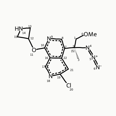 COC[C@@](C)(N=[N+]=[N-])c1cnc(OC2CNC2)c2cnc(Cl)cc12